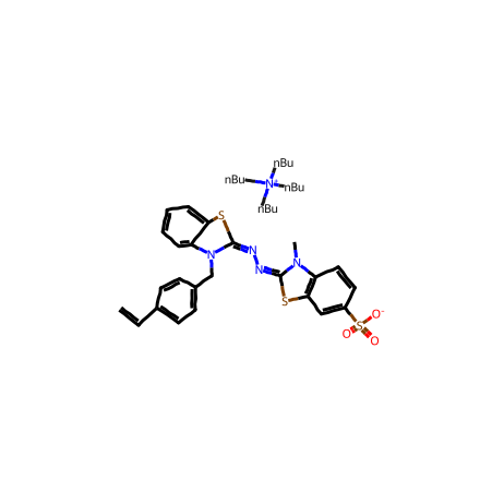 C=Cc1ccc(Cn2c(=NN=c3sc4cc(S(=O)(=O)[O-])ccc4n3C)sc3ccccc32)cc1.CCCC[N+](CCCC)(CCCC)CCCC